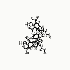 CCCCN(Cc1cc(C(C)C)c(O)c(C(C)C)c1)S(=O)(=O)c1cccc(S(=O)(=O)N(CCCC)Cc2cc(C(C)C)c(O)c(C(C)C)c2)c1